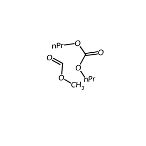 CCCOC(=O)OCCC.COC=O